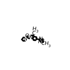 Cc1cn(CC(=O)N2CCCC2)c2ccc(-c3ncn(C)n3)cc12